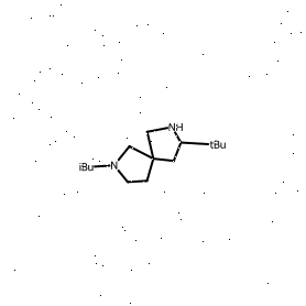 CCC(C)N1CCC2(CNC(C(C)(C)C)C2)C1